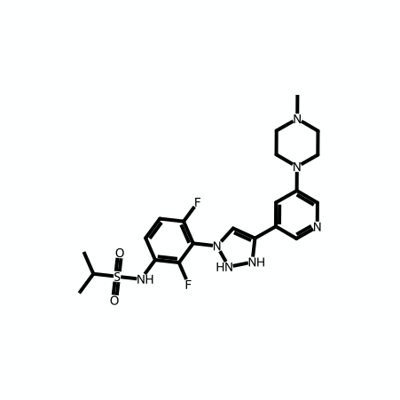 CC(C)S(=O)(=O)Nc1ccc(F)c(N2C=C(c3cncc(N4CCN(C)CC4)c3)NN2)c1F